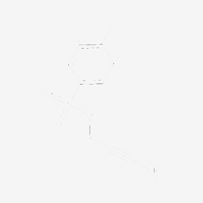 Cc1ccc(S(=O)(=O)OCC#CC(F)(F)F)cc1